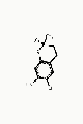 Cc1cc2c(cc1Cl)CCC(C)(C)O2